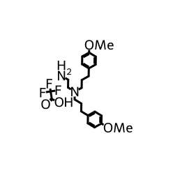 COc1ccc(CCCN(CCN)CCCc2ccc(OC)cc2)cc1.O=C(O)C(F)(F)F